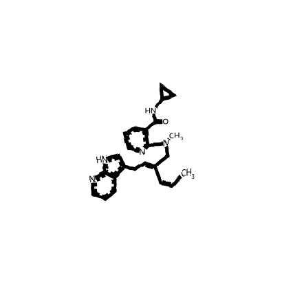 C/C=C\C(=C/Cc1c[nH]c2ncccc12)CN(C)c1ncccc1C(=O)NC1CC1